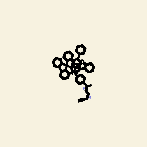 C#C/C=C\C=C(/C)c1ccc(N(c2ccc(-c3ccccc3)cc2)c2cccc3c2C2(c4ccccc4-3)c3ccccc3-c3c2ccc2c3oc3ccccc32)cc1